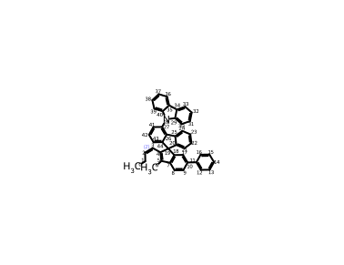 CC/C=C\C1=C(C)c2ccc(-c3ccccc3)cc2C12c1ccccc1-c1c(-n3c4ccccc4c4ccccc43)cccc12